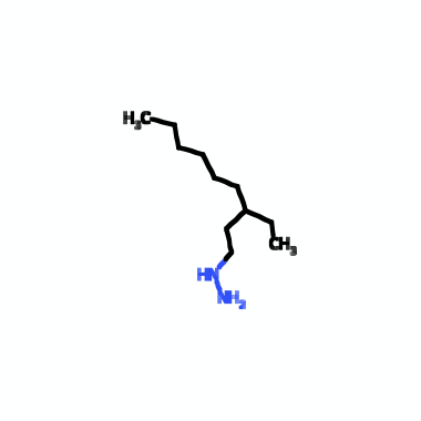 CCCCCCC(CC)CCNN